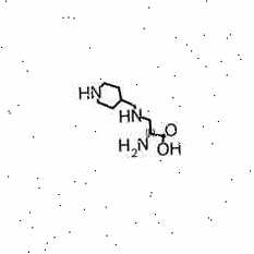 N[C@H](CNCC1CCNCC1)C(=O)O